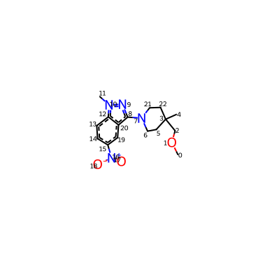 COCC1(C)CCN(c2nn(C)c3ccc([N+](=O)[O-])cc23)CC1